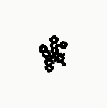 CC1(C)CC(=O)CC(C)(C)P1c1cc(Cc2ccccc2)c(Cc2ccccc2)cc1C(P)(c1ccc2ccccc2n1)c1ccc2ccccc2n1